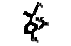 CNC.COC(=O)c1ccc(C)cc1